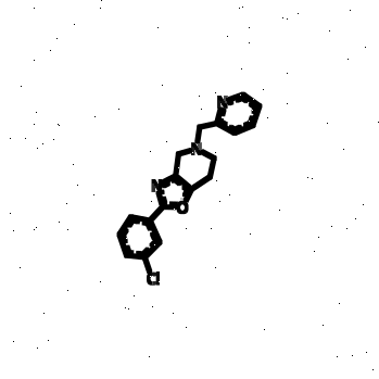 Clc1cccc(-c2nc3c(o2)CCN(Cc2ccccn2)C3)c1